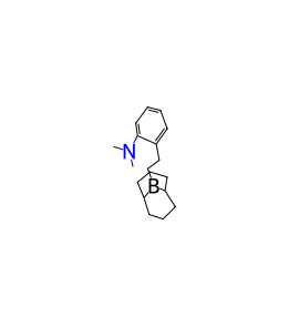 CN(C)c1ccccc1CCB1C2CCCC1CCC2